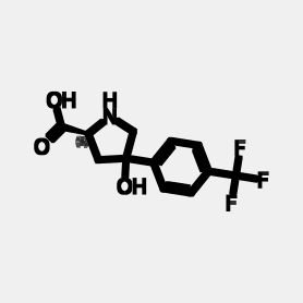 O=C(O)[C@@H]1CC(O)(c2ccc(C(F)(F)F)cc2)CN1